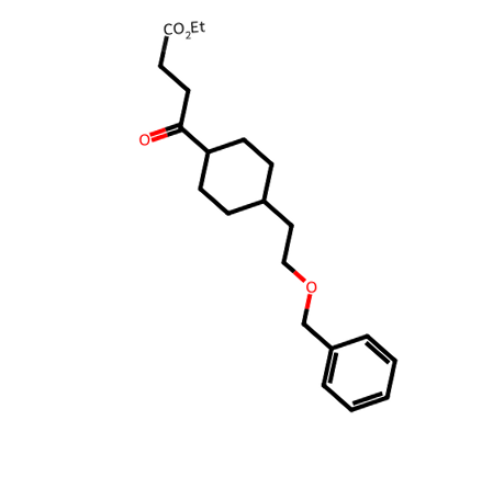 CCOC(=O)CCC(=O)C1CCC(CCOCc2ccccc2)CC1